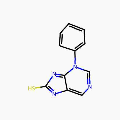 Sc1nc2cncn(-c3ccccc3)c-2n1